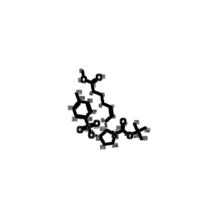 COC(=O)CCC/C=C\C[C@H]1[C@@H](OS(=O)(=O)c2ccc(C)cc2)CCN1C(=O)OC(C)(C)C